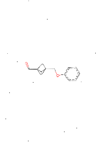 O=CC12CC(COc3ccccc3)(C1)C2